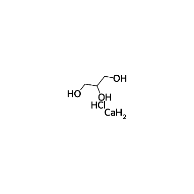 Cl.OCC(O)CO.[CaH2]